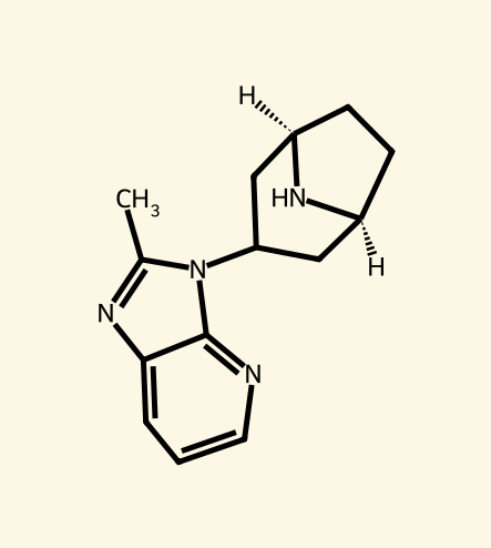 Cc1nc2cccnc2n1C1C[C@H]2CC[C@@H](C1)N2